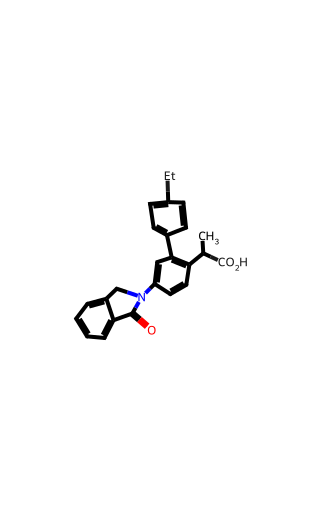 CCc1ccc(-c2cc(N3Cc4ccccc4C3=O)ccc2C(C)C(=O)O)cc1